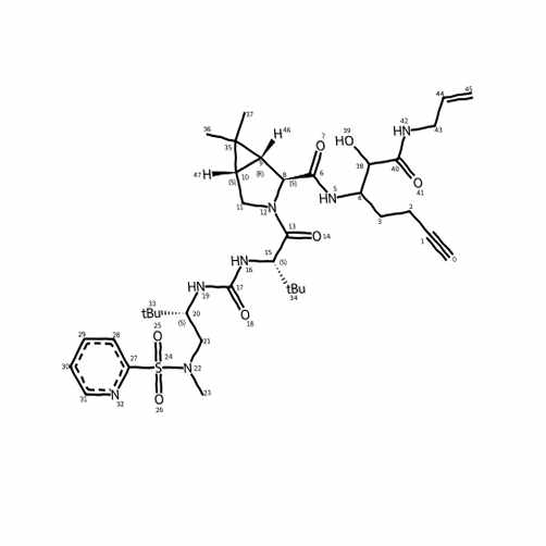 C#CCCC(NC(=O)[C@@H]1[C@@H]2[C@H](CN1C(=O)[C@@H](NC(=O)N[C@H](CN(C)S(=O)(=O)c1ccccn1)C(C)(C)C)C(C)(C)C)C2(C)C)C(O)C(=O)NCC=C